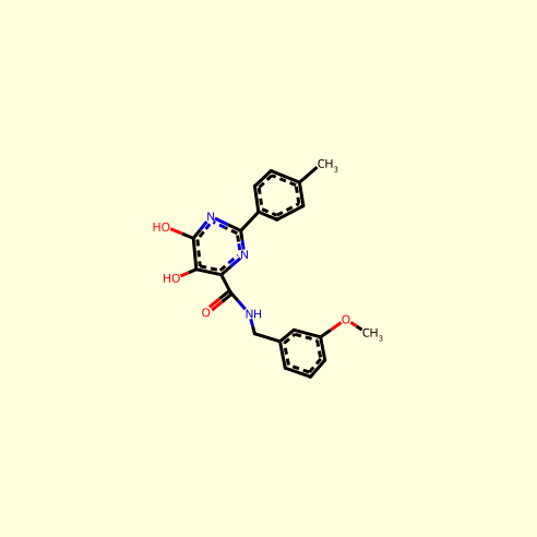 COc1cccc(CNC(=O)c2nc(-c3ccc(C)cc3)nc(O)c2O)c1